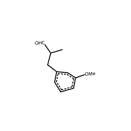 COc1cccc(CC(C)[C]=O)c1